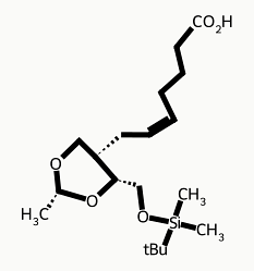 C[C@@H]1OC[C@H](C/C=C\CCCC(=O)O)[C@H](CO[Si](C)(C)C(C)(C)C)O1